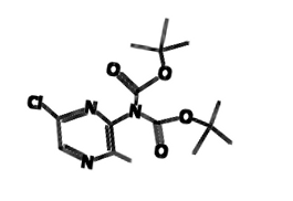 Cc1ncc(Cl)nc1N(C(=O)OC(C)(C)C)C(=O)OC(C)(C)C